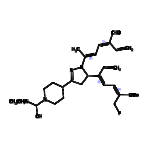 C=C/C(C=O)=C\C=C(/C)N1N=C(C2CCN(C(O)N(C)O)CC2)CC1/C(C=C)=C/C=C(\CF)OC